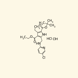 CCOC(=O)c1c(CNc2ccc(Cl)cn2)[nH]c(C(=O)OC(C)(C)C)c1CC.Cl.Cl